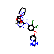 C=CC(=O)N1CC2CCC(C1)N2c1ccc2ncnc(Nc3ccc(Oc4ccn5ncnc5c4)c(Cl)c3F)c2n1